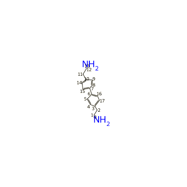 NCCc1ccc(-c2ccc(CCN)cc2)cc1